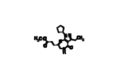 CCc1nn(C2CCCC2)c2c1C(=O)NCC(CCC(=O)OC)=N2